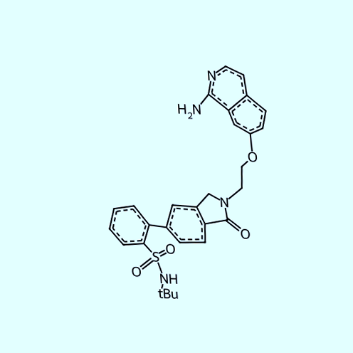 CC(C)(C)NS(=O)(=O)c1ccccc1-c1ccc2c(c1)CN(CCOc1ccc3ccnc(N)c3c1)C2=O